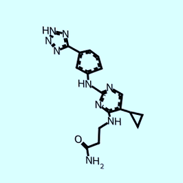 NC(=O)CCNc1nc(Nc2cccc(-c3nn[nH]n3)c2)ncc1C1CC1